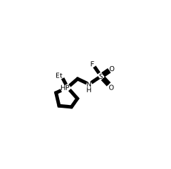 CC[PH]1(CNS(=O)(=O)F)CCCC1